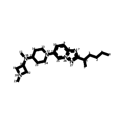 CCCCC(C)c1nc2ccc(N3CCC(N(C)C4CN(C)C4)CC3)cn2n1